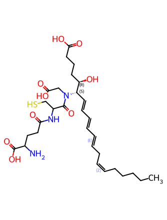 CCCCC/C=C\C/C=C/C=CC=C[C@@H]([C@H](O)CCCC(=O)O)N(CC(=O)O)C(=O)C(CS)NC(=O)CCC(N)C(=O)O